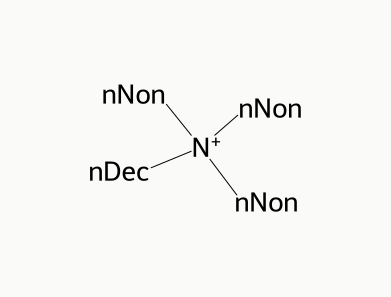 CCCCCCCCCC[N+](CCCCCCCCC)(CCCCCCCCC)CCCCCCCCC